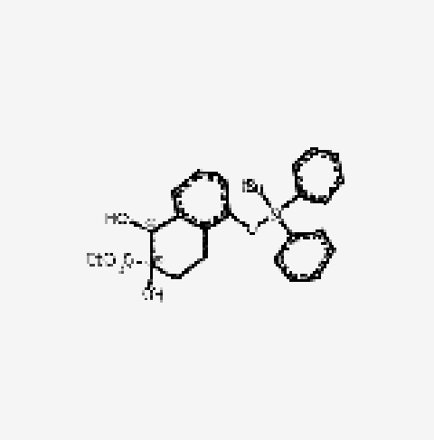 CCOC(=O)[C@@]1(O)CCc2c(O[Si](c3ccccc3)(c3ccccc3)C(C)(C)C)cccc2[C@@H]1O